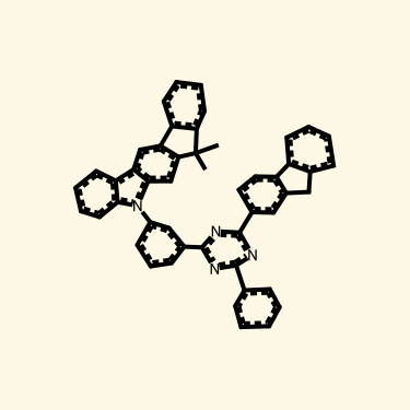 CC1(C)c2ccccc2-c2cc3c4ccccc4n(-c4cccc(-c5nc(-c6ccccc6)nc(-c6ccc7c(c6)Cc6ccccc6-7)n5)c4)c3cc21